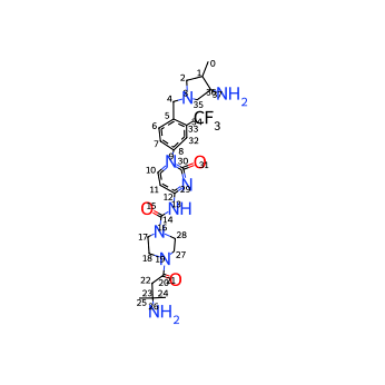 CC1CN(Cc2ccc(-n3ccc(NC(=O)N4CCN(C(=O)CC(C)(C)N)CC4)nc3=O)cc2C(F)(F)F)CC1N